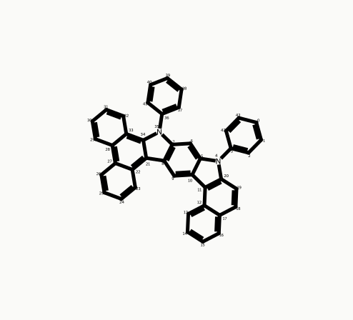 c1ccc(-n2c3cc4c(cc3c3c5ccccc5ccc32)c2c3ccccc3c3ccccc3c2n4-c2ccccc2)cc1